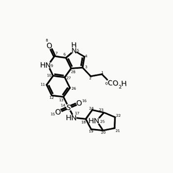 O=C(O)CCc1c[nH]c2c(=O)[nH]c3ccc(S(=O)(=O)NC4CC5CCC(C4)N5)cc3c12